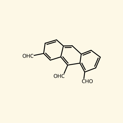 O=Cc1ccc2cc3cccc(C=O)c3c(C=O)c2c1